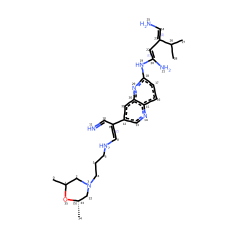 CC1CN(CCCN/C=C(\C=N)c2cnc3ccc(N/C(N)=C/C(=C\N)C(C)C)nc3c2)C[C@H](C)O1